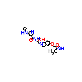 CC1NCOC1COc1ccc2c(c1)CCN(C[C@@H](O)CNC(=O)c1cncc(NC3CCC3)c1)C2